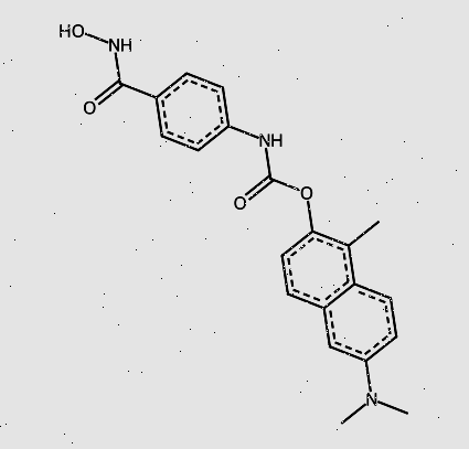 Cc1c(OC(=O)Nc2ccc(C(=O)NO)cc2)ccc2cc(N(C)C)ccc12